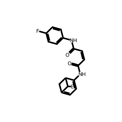 CCC1C2=CC=C(NC(=O)/C=C\C(=O)Nc3ccc(F)cc3)C1C2